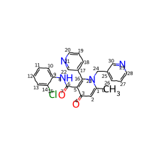 Cc1cc(=O)c(C(=O)Nc2ccccc2Cl)c(-c2cccnc2)n1Cc1cccnc1